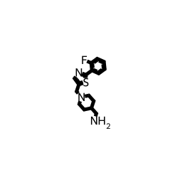 NCC1CCN(Cc2cnc(-c3ccccc3F)s2)CC1